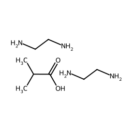 CC(C)C(=O)O.NCCN.NCCN